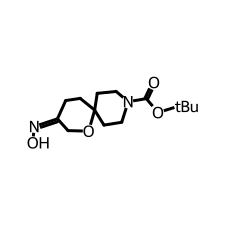 CC(C)(C)OC(=O)N1CCC2(CC/C(=N/O)CO2)CC1